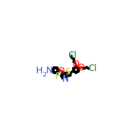 Nc1ccc(Oc2ccnc3cc(-c4ccc(OCCCCl)c(OCCCCl)c4)sc23)c(F)c1